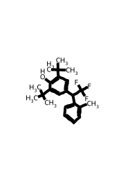 Cc1ccccc1C(c1cc(C(C)(C)C)c(O)c(C(C)(C)C)c1)C(F)(F)F